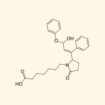 O=C(O)CCCCCCN1C(=O)CCC1C(=CC(O)Oc1ccccc1)c1ccccc1